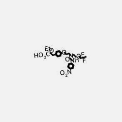 CCOC(Cc1ccc(OCCN(CCOCC(C)(F)F)C(=O)Nc2ccc([N+](=O)[O-])cc2)cc1)C(=O)O